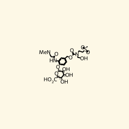 CNCC(=O)Nc1cc(COC(=O)N(CO)CCS(C)(=O)=O)ccc1O[C@@H]1O[C@H](C(=O)O)[C@@H](O)[C@H](O)[C@H]1O